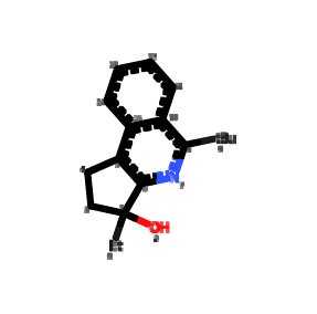 CCC1(O)CCc2c1nc(C(C)(C)C)c1ccccc21